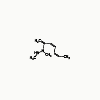 C=C(/C=C\C=C/C)N(C)BC